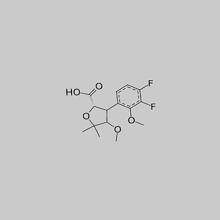 COc1c(C2C(OC)C(C)(C)O[C@@H]2C(=O)O)ccc(F)c1F